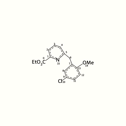 CCOC(=O)c1cccc(Cc2cc(Cl)ccc2OC)n1